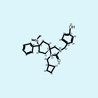 CN(C)[C@]1(c2ccccc2)CC[C@@]2(CC1)CN(Cc1ccc(O)cc1)C(=O)N2CC1CCC1